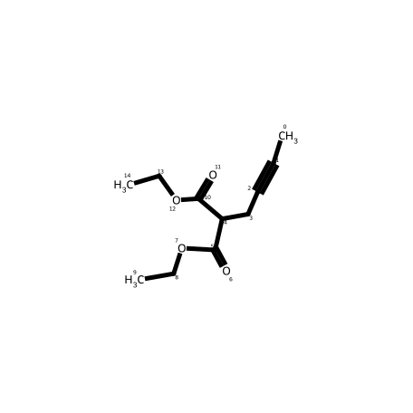 CC#CCC(C(=O)OCC)C(=O)OCC